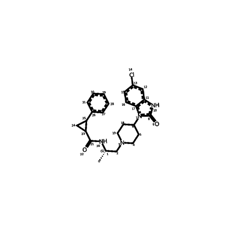 C[C@@H](CN1CCC(n2c(=O)[nH]c3cc(Cl)ccc32)CC1)NC(=O)C1CC1c1ccccc1